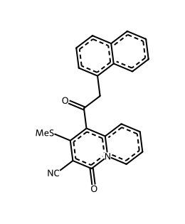 CSc1c(C#N)c(=O)n2ccccc2c1C(=O)Cc1cccc2ccccc12